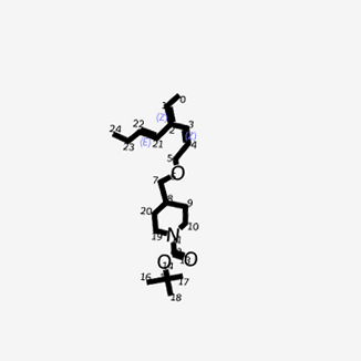 C/C=C(\C=C/COCC1CCN(C(=O)OC(C)(C)C)CC1)/C=C/CC